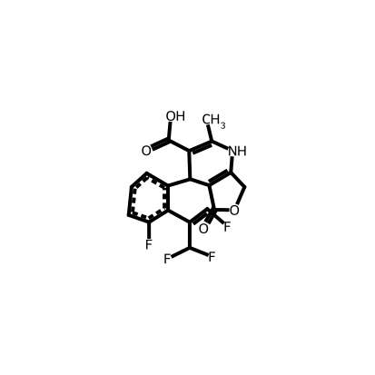 CC1=C(C(=O)O)C(c2cccc(F)c2C(=CF)C(F)F)C2=C(COC2=O)N1